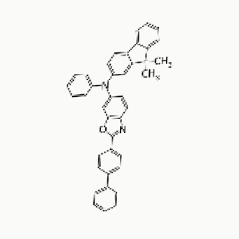 CC1(C)c2ccccc2-c2ccc(N(c3ccccc3)c3ccc4nc(-c5ccc(-c6ccccc6)cc5)oc4c3)cc21